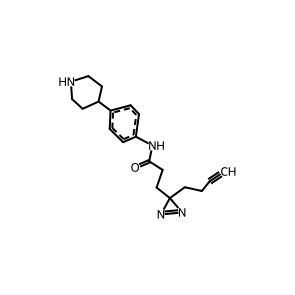 C#CCCC1(CCC(=O)Nc2ccc(C3CCNCC3)cc2)N=N1